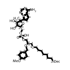 CCCCCCCCCCCCCCCCCOC[C@H](COP(=O)(O)OC[C@H]1O[C@@](C)(c2ccc3c(N)ncnn23)[C@H](O)[C@@H]1O)OCc1ccc(OC)cc1